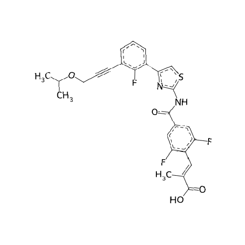 CC(=Cc1c(F)cc(C(=O)Nc2nc(-c3cccc(C#CCOC(C)C)c3F)cs2)cc1F)C(=O)O